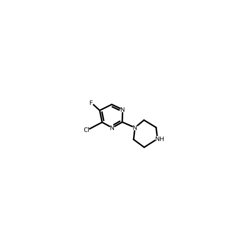 Fc1cnc(N2CCNCC2)nc1Cl